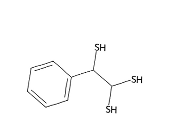 SC(S)C(S)c1ccccc1